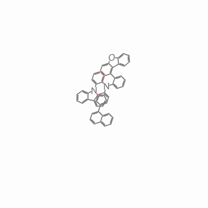 c1ccc(N(c2ccc(-c3cccc4ccccc34)cc2)c2ccccc2-n2c3ccccc3c3ccccc32)c(-c2cccc3oc4ccccc4c23)c1